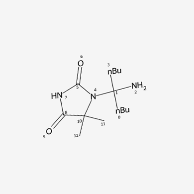 CCCCC(N)(CCCC)N1C(=O)NC(=O)C1(C)C